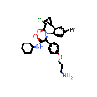 CC(C)c1ccc(N(C(=O)CCl)C(C(=O)NC2CCCCC2)c2ccc(OCCCN)cc2)c(C2CC2)c1